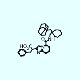 O=C(NCC1(CC23CC4CC(CC(C4)C2)C3)CCCCC1)c1cccc2nc(C(Cc3ccccc3)C(=O)O)cn12